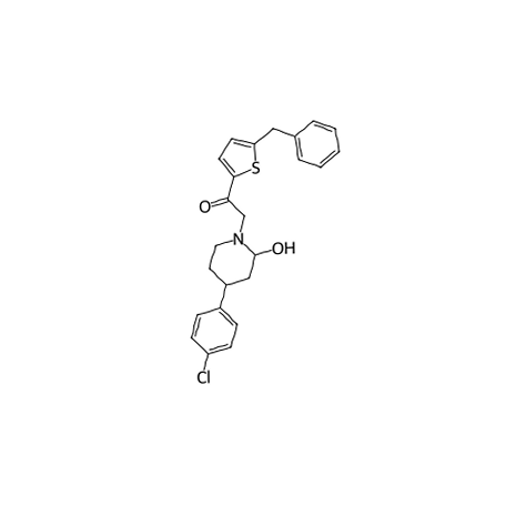 O=C(CN1CCC(c2ccc(Cl)cc2)CC1O)c1ccc(Cc2ccccc2)s1